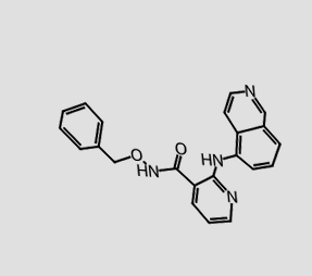 O=C(NOCc1ccccc1)c1cccnc1Nc1cccc2cnccc12